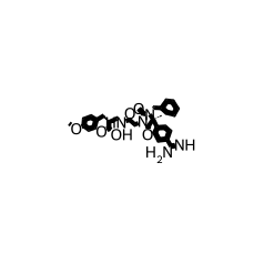 COc1ccc(C[C@@H](CNC(=O)CN2C(=O)N(Cc3ccccc3)[C@@](C)(c3ccc(C(=N)N)cc3)C2=O)C(=O)O)cc1